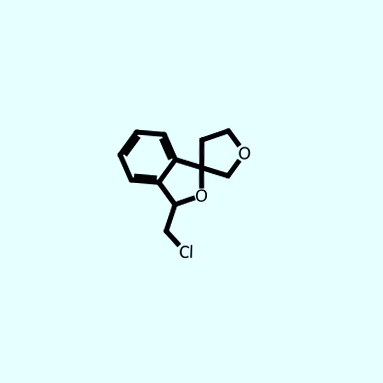 ClCC1OC2(CCOC2)c2ccccc21